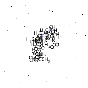 C/C=C(\C)[C@@H](OC(=O)C(C)(C)NC(=O)OCC1c2ccccc2-c2ccccc21)[C@@H](C)[C@H](C/C=C(\C)C(=O)O[C@H](CC(C)C)C(=O)N[C@@H](C)C(=O)N(C)[C@H](Cc1ccc(C#N)cc1)C(=O)N(C)CC(=O)N[C@H](C(=O)OCC(Cl)(Cl)Cl)[C@H](C)CC)OCSC